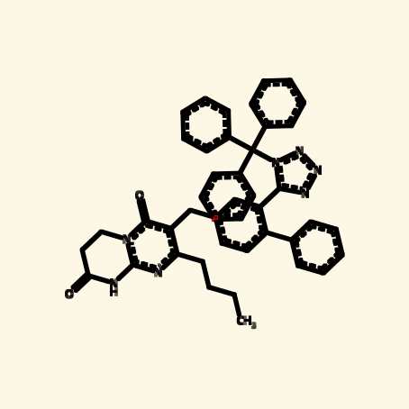 CCCCc1nc2n(c(=O)c1Cc1ccc(-c3ccccc3)c(-c3nnnn3C(c3ccccc3)(c3ccccc3)c3ccccc3)c1)CCC(=O)N2